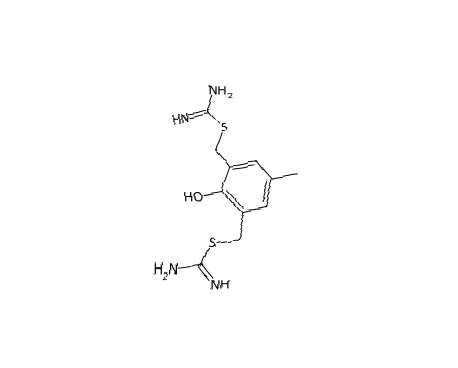 Cc1cc(CSC(=N)N)c(O)c(CSC(=N)N)c1